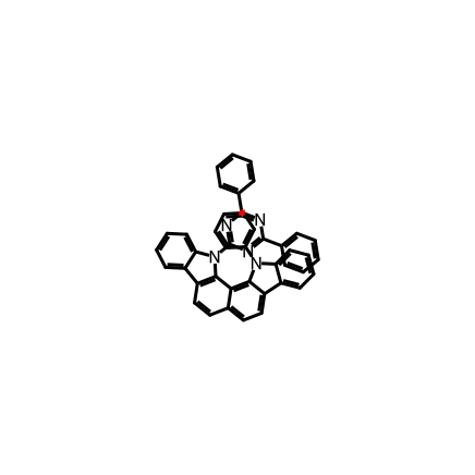 c1ccc(-c2nc(-c3ccccc3)nc(-n3c4ccccc4c4ccc5ccc6c7ccccc7n(-c7ccccc7)c6c5c43)n2)cc1